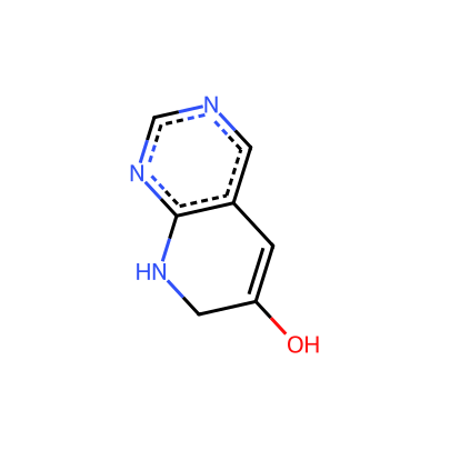 OC1=Cc2cncnc2NC1